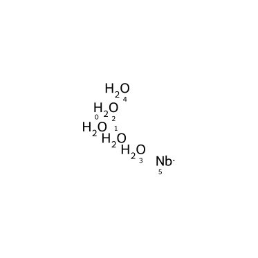 O.O.O.O.O.[Nb]